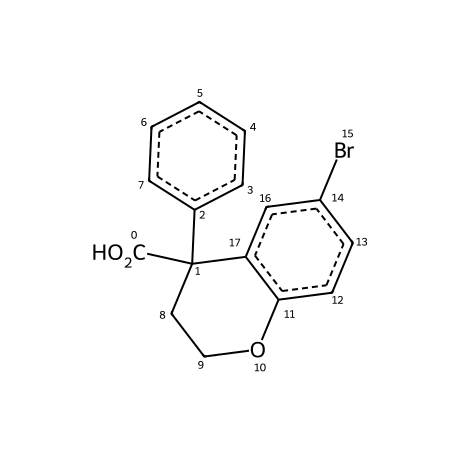 O=C(O)C1(c2ccccc2)CCOc2ccc(Br)cc21